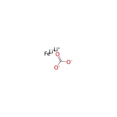 O=C([O-])[O-].[Fe].[Li+].[Li+]